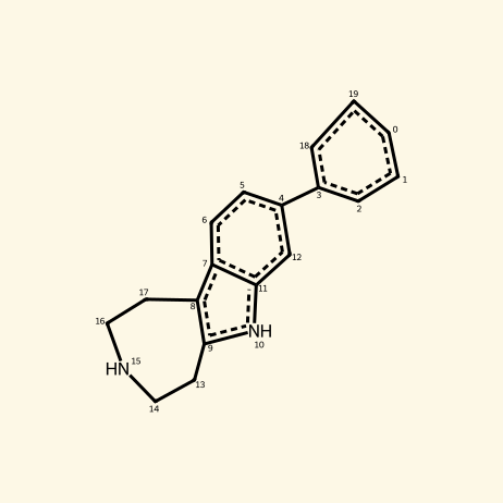 c1ccc(-c2ccc3c4c([nH]c3c2)CCNCC4)cc1